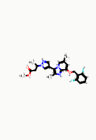 COC(=O)CC(C)n1cc(-c2c(C)nc3c(OCc4c(F)cccc4F)cc(C)cn23)cn1